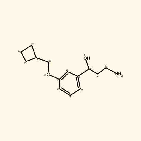 NCCC(O)c1cccc(OCC2CCC2)c1